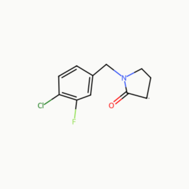 O=C1[CH]CCN1Cc1ccc(Cl)c(F)c1